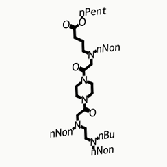 CCCCCCCCCN(CCCC)CCN(CCCCCCCCC)CC(=O)N1CCN(C(=O)CN(CCCCCCCCC)CCCC(=O)OCCCCC)CC1